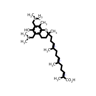 C/C(=C\CC/C(C)=C/CCC1(C)CCc2c(CN(C)C)c(O)c(CN(C)C)c(C)c2O1)CC/C=C(\C)C(=O)O